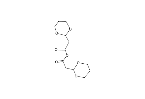 O=C(CC1OCCCO1)OC(=O)CC1OCCCO1